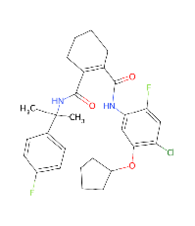 CC(C)(NC(=O)C1=C(C(=O)Nc2cc(OC3CCCC3)c(Cl)cc2F)CCCC1)c1ccc(F)cc1